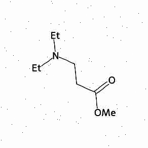 CCN(CC)CCC(=O)OC